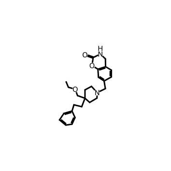 CCOCC1(CCc2ccccc2)CCN(Cc2ccc3c(c2)OC(=O)NC3)CC1